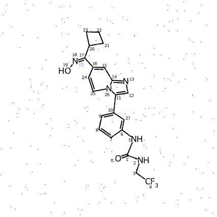 O=C(NCC(F)(F)F)Nc1cccc(-c2cnc3cc(/C(=N\O)C4CCC4)ccn23)c1